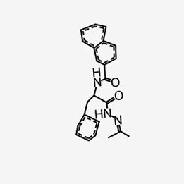 CC(C)=NNC(=O)C(Cc1ccccc1)NC(=O)c1ccc2ccccc2c1